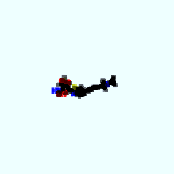 CC(CCc1nc2ccc(C#CC#CC3CN(C4CC4)C3)cc2s1)(C(=O)NO)S(C)(=O)=O